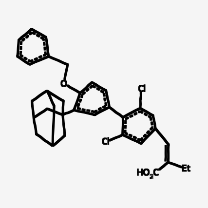 CCC(=Cc1cc(Cl)c(-c2ccc(OCc3ccccc3)c(C34CC5CC(CC(C5)C3)C4)c2)c(Cl)c1)C(=O)O